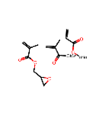 C=C(C)C(=O)OC.C=C(C)C(=O)OCC1CO1.C=CC(=O)OCCCC